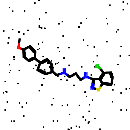 COc1ccc(-c2ccc(CNCCCNc3nsc4cccc(Cl)c34)cc2)cc1